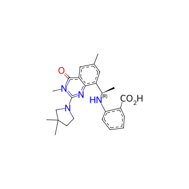 Cc1cc([C@@H](C)Nc2ccccc2C(=O)O)c2nc(N3CCC(C)(C)C3)n(C)c(=O)c2c1